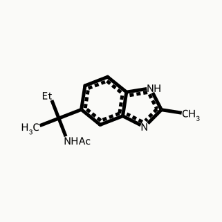 CCC(C)(NC(C)=O)c1ccc2[nH]c(C)nc2c1